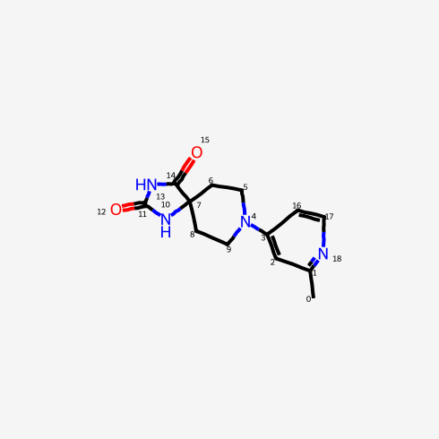 Cc1cc(N2CCC3(CC2)NC(=O)NC3=O)ccn1